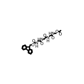 CC(=O)OCNC(=O)CNC(=O)CNC(=O)CNC(=O)OCC1c2ccccc2-c2ccccc21